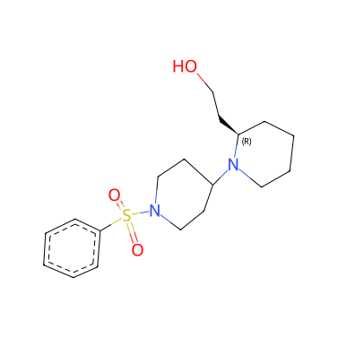 O=S(=O)(c1ccccc1)N1CCC(N2CCCC[C@@H]2CCO)CC1